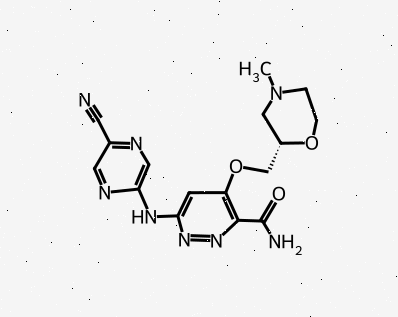 CN1CCO[C@H](COc2cc(Nc3cnc(C#N)cn3)nnc2C(N)=O)C1